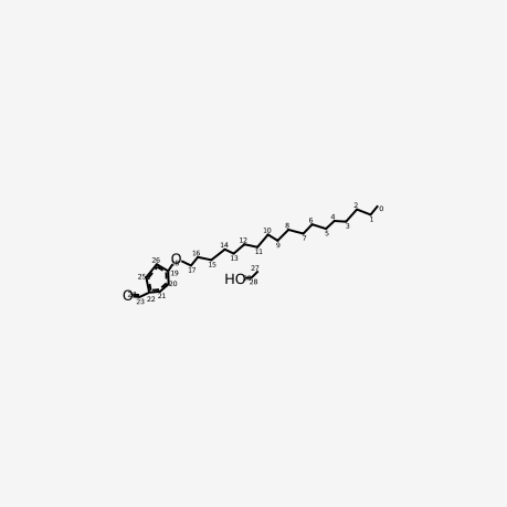 CCCCCCCCCCCCCCCCCCOc1ccc(C=O)cc1.CCO